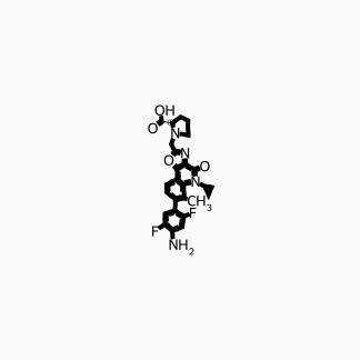 Cc1c(-c2cc(F)c(N)cc2F)ccc2c3oc(CN4CCC[C@H]4C(=O)O)nc3c(=O)n(C3CC3)c12